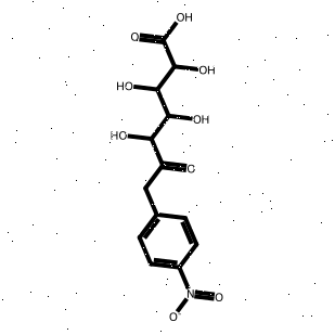 O=C(O)C(O)C(O)C(O)C(O)C(=O)Cc1ccc([N+](=O)[O-])cc1